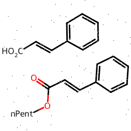 CCCCCOC(=O)C=Cc1ccccc1.O=C(O)C=Cc1ccccc1